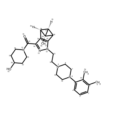 Cc1cccc(N2CCN(CCn3nc(C(=O)N4CCC(O)CC4)c4c3C3[C@@H]5[C@H]4[C@]35C)CC2)c1C